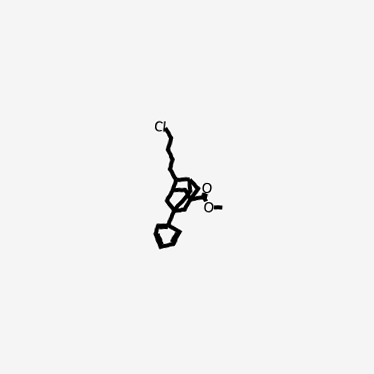 COC(=O)C12CC3CC(c4ccccc4)(CC(C1)C3CCCCCl)C2